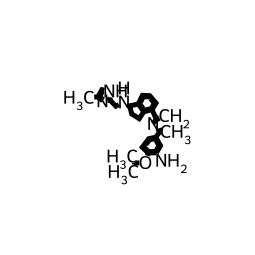 C=C(/N=C(\C)c1ccc(OC(C)C)c(N)c1)c1cccc2c1CC[C@@H]2NCc1nc(C)c[nH]1